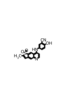 CC1=Cc2cc3nccc(Nc4ccc(O)c(C#N)c4)c3cc2S1(=O)=O